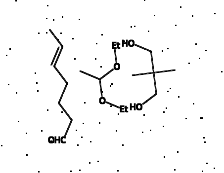 C/C=C/CCCC=O.CC(C)(CO)CO.CCOC(C)OCC